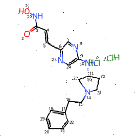 Cl.Cl.O=C(C=Cc1cnc(N[C@@H]2CCN(CCc3ccccc3)C2)cn1)NO